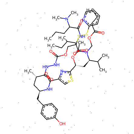 CCCC(=O)OCN(C(=O)[C@@H](NC(=O)C(CCC)N(C)C)C(C)CC)[C@H](C[C@@H](OC(C)=O)c1nc(C(=O)N[C@@H](Cc2ccc(O)cc2)C[C@H](C)C(=O)NNC(=O)OCCSSc2ccccn2)cs1)C(C)C